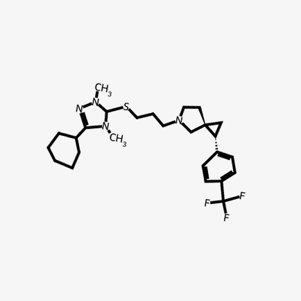 CN1N=C(C2CCCCC2)N(C)C1SCCCN1CC[C@]2(C[C@@H]2c2ccc(C(F)(F)F)cc2)C1